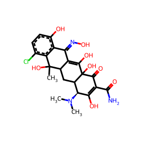 CN(C)[C@@H]1C(O)=C(C(N)=O)C(=O)C2(O)C(O)=C3C(=NO)c4c(O)ccc(Cl)c4C(C)(O)C3CC12